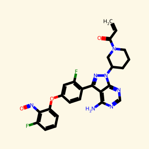 C=CC(=O)N1CCCC(n2nc(-c3ccc(Oc4cccc(F)c4N=O)cc3F)c3c(N)ncnc32)C1